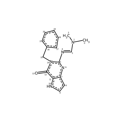 CN(C)C=Nc1nc2cc[nH]c2c(=O)n1Cc1ccccc1